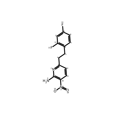 Nc1nc(CCc2ccc(F)cc2F)ccc1[N+](=O)[O-]